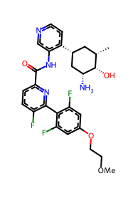 COCCOc1cc(F)c(-c2nc(C(=O)Nc3cnccc3[C@H]3C[C@@H](N)[C@@H](O)[C@@H](C)C3)ccc2F)c(F)c1